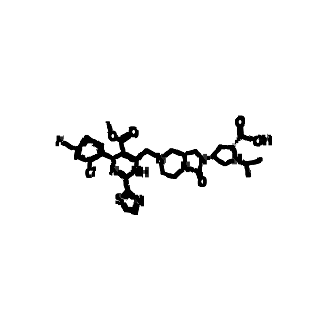 COC(=O)C1=C(CN2CCN3C(=O)N([C@@H]4C[C@H](C(=O)O)N(C(C)C)C4)CC3C2)NC(c2nccs2)=NC1c1ccc(F)cc1Cl